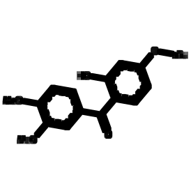 CCCCOc1ccc(C(=O)c2ccc(OC)c(OC)c2)c(O)c1